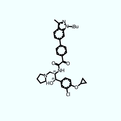 CCC(C)n1nc(C)c2ccc(-c3ccc(C(=O)C(=O)N[C@H](CN4CCCC4)[C@H](O)c4ccc(OC5CC5)c(Cl)c4)cc3)cc21